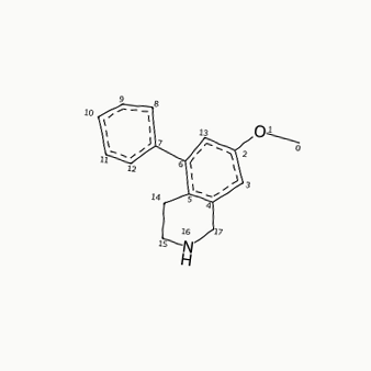 COc1cc2c(c(-c3ccccc3)c1)CCNC2